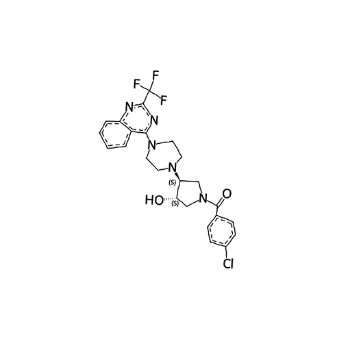 O=C(c1ccc(Cl)cc1)N1C[C@H](O)[C@@H](N2CCN(c3nc(C(F)(F)F)nc4ccccc34)CC2)C1